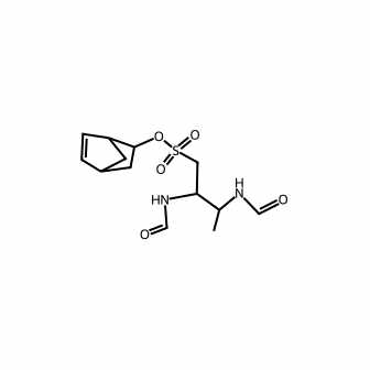 CC(NC=O)C(CS(=O)(=O)OC1CC2C=CC1C2)NC=O